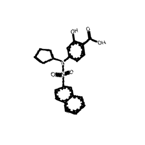 O=C(O)c1ccc(N(C2CCCC2)S(=O)(=O)c2ccc3ccccc3c2)cc1O